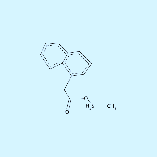 C[SiH2]OC(=O)Cc1cccc2ccccc12